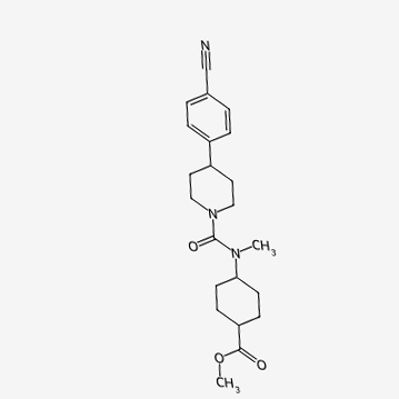 COC(=O)C1CCC(N(C)C(=O)N2CCC(c3ccc(C#N)cc3)CC2)CC1